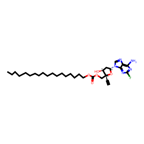 C#C[C@]1(COC(=O)OCCCCCCCCCCCCCCCCCC)O[C@@H](n2cnc3c(N)nc(F)nc32)C[C@@H]1O